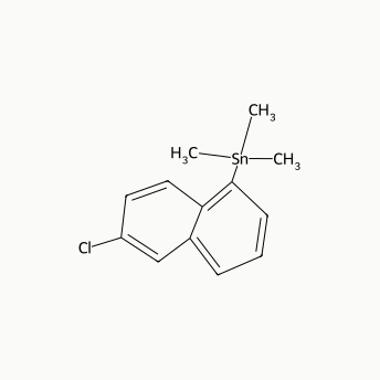 [CH3][Sn]([CH3])([CH3])[c]1cccc2cc(Cl)ccc12